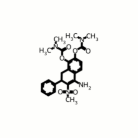 CN(C)C(=O)Oc1ccc2c(c1OC(=O)N(C)C)CC(c1ccccc1)C(S(C)(=O)=O)=C2N